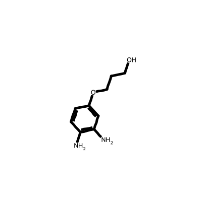 Nc1ccc(OCCCO)cc1N